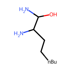 CCCCCCC(N)C(N)O